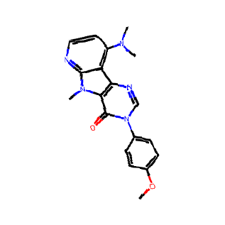 COc1ccc(-n2cnc3c4c(N(C)C)ccnc4n(C)c3c2=O)cc1